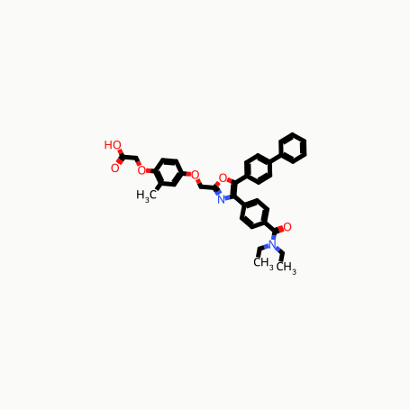 CCN(CC)C(=O)c1ccc(-c2nc(COc3ccc(OCC(=O)O)c(C)c3)oc2-c2ccc(-c3ccccc3)cc2)cc1